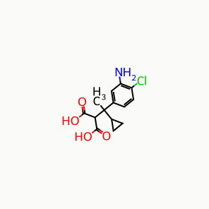 CC(c1ccc(Cl)c(N)c1)(C1CC1)C(C(=O)O)C(=O)O